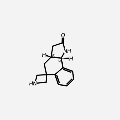 O=C1C[C@H]2CC3(CNC3)c3ccccc3[C@H]2N1